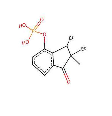 CCC1c2c(OP(=O)(O)O)cccc2C(=O)C1(C)CC